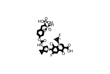 O=C(N[C@@H]1CN(c2c(F)cc3c(=O)c(C(=O)O)cn(C4C[C@@H]4F)c3c2Cl)CC12CC2)Oc1ccc(CC(P(=O)(O)O)P(=O)(O)O)cc1